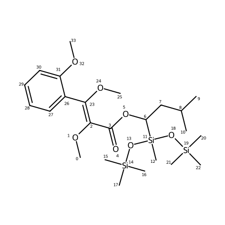 COC(C(=O)OC(CC(C)C)[Si](C)(O[Si](C)(C)C)O[Si](C)(C)C)=C(OC)c1ccccc1OC